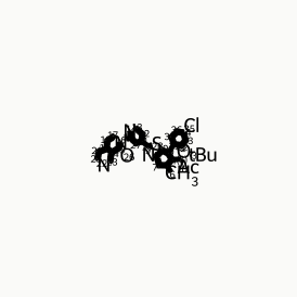 CC(=O)[C@@H](OC(C)(C)C)c1c(C)cc2nc(-c3ccnc(-n4ccc5ccncc5c4=O)c3)sc2c1-c1ccc(Cl)cc1